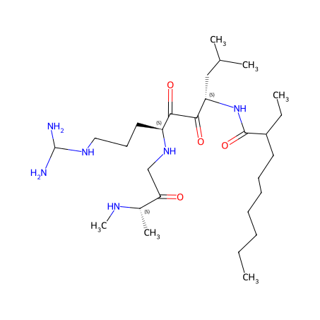 CCCCCCCC(CC)C(=O)N[C@@H](CC(C)C)C(=O)C(=O)[C@H](CCCNC(N)N)NCC(=O)[C@H](C)NC